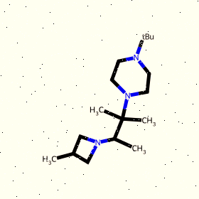 CC1CN(C(C)C(C)(C)N2CCN(C(C)(C)C)CC2)C1